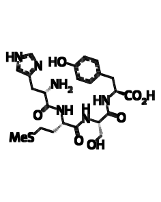 CSCC[C@H](NC(=O)[C@@H](N)Cc1c[nH]cn1)C(=O)N[C@@H](CO)C(=O)N[C@@H](Cc1ccc(O)cc1)C(=O)O